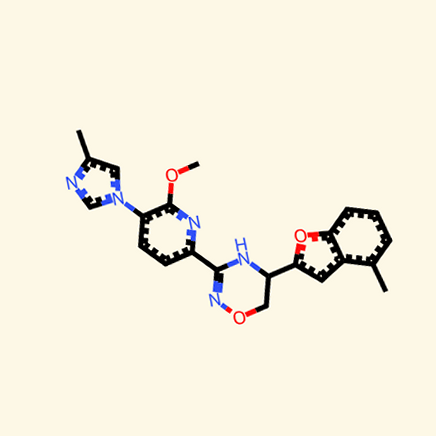 COc1nc(C2=NOCC(c3cc4c(C)cccc4o3)N2)ccc1-n1cnc(C)c1